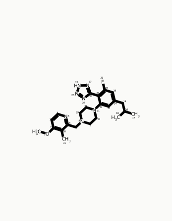 COc1ccnc(CN2CCN(c3cc(CC(C)C)cc(F)c3-c3nn[nH]n3)CC2)c1C